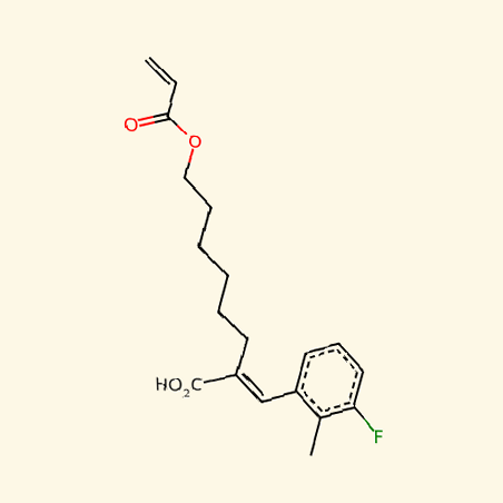 C=CC(=O)OCCCCCCC(=Cc1cccc(F)c1C)C(=O)O